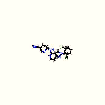 N#Cc1ccc(Nc2nccc3nn(-c4c(Cl)cccc4Cl)cc23)nc1